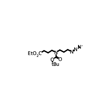 CCOC(=O)CCCN(CCCN=[N+]=[N-])C(=O)OC(C)(C)C